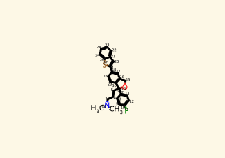 CN(C)CCCC1(c2ccc(F)cc2)OCc2cc(-c3cc4ccccc4s3)ccc21